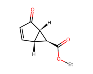 CCOC(=O)[C@H]1[C@@H]2C=CC(=O)[C@@H]21